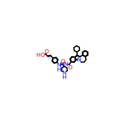 O=C(O)/C=C/c1ccc(NC(=O)C2(NC(=O)c3ccc4c(C5CCCCC5)c5n(c4c3)CCCc3ccccc3-5)CCNCC2)cc1